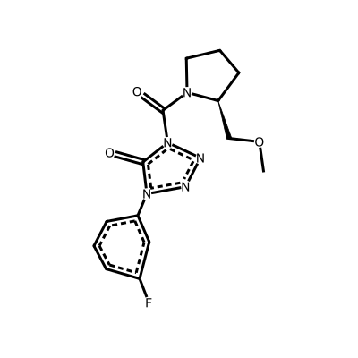 COC[C@@H]1CCCN1C(=O)n1nnn(-c2cccc(F)c2)c1=O